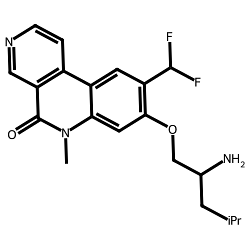 CC(C)CC(N)COc1cc2c(cc1C(F)F)c1ccncc1c(=O)n2C